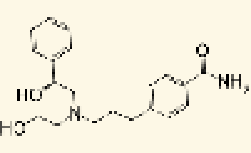 NC(=O)c1ccc(CCCN(CCO)C[C@@H](O)c2ccccc2)cc1